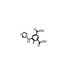 Cc1c(NN2C=NCC2)cc(C(=O)O)cc1C(=O)O